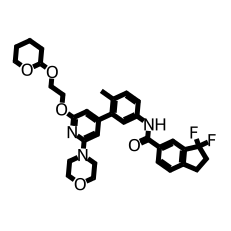 Cc1ccc(NC(=O)c2ccc3c(c2)C(F)(F)CC3)cc1-c1cc(OCCOC2CCCCO2)nc(N2CCOCC2)c1